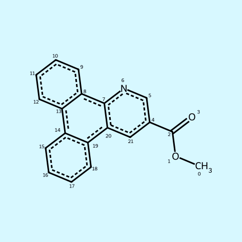 COC(=O)c1cnc2c3ccccc3c3ccccc3c2c1